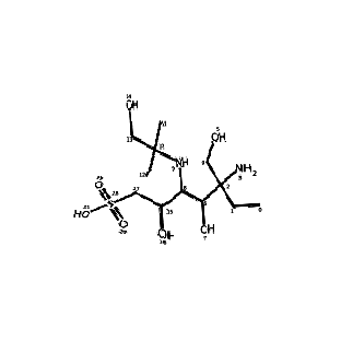 CCC(N)(CO)C(O)C(NC(C)(C)CO)C(O)CS(=O)(=O)O